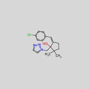 CC1(C)CCC(=Cc2ccc(Cl)cc2)C1(O)Cn1ccnn1